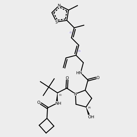 C=C/C(=C\C=C(/C)c1scnc1C)CNC(=O)C1C[C@@H](O)CN1C(=O)[C@@H](NC(=O)C1CCC1)C(C)(C)C